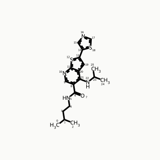 CC(C)CCNC(=O)c1cnc2sc(-c3cncs3)cc2c1NC(C)C